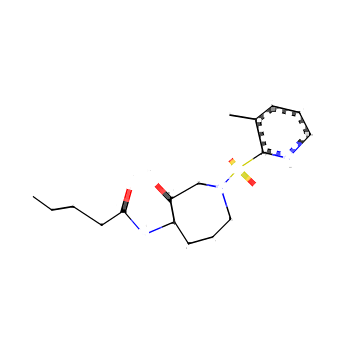 CCCCC(=O)NC1CCCN(S(=O)(=O)c2ncccc2C)CC1=O